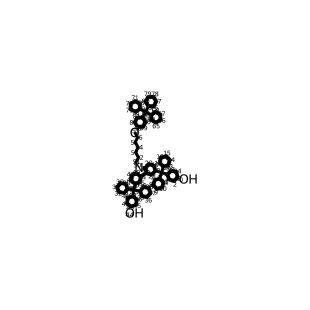 Oc1ccc(C(c2ccccc2)(c2ccccc2)c2ccc3c(c2)c2cc(C(c4ccccc4)(c4ccccc4)c4ccc(O)cc4)ccc2n3CCCCCCOc2ccc(C(c3ccccc3)(c3ccccc3)c3ccccc3)cc2)cc1